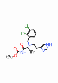 CC(C)[C@@H](C(=O)NC(=O)OC(C)(C)C)N(CCc1c[nH]cn1)Cc1cccc(Cl)c1Cl